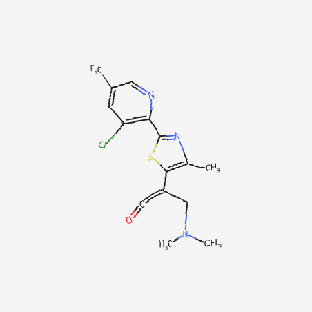 Cc1nc(-c2ncc(C(F)(F)F)cc2Cl)sc1C(=C=O)CN(C)C